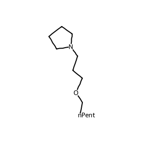 CCCCCCOCCCN1CCCC1